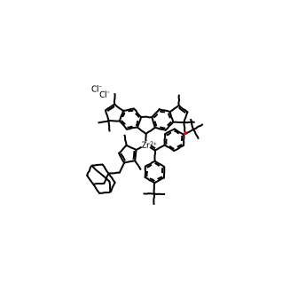 CC1=CC(C)(C)c2cc3c(cc21)-c1cc2c(cc1[CH]3[Zr+2]([C]1=C(C)C(CC34CC5CC(CC(C5)C3)C4)=CC1C)=[C](c1ccc(C(C)(C)C)cc1)c1ccc(C(C)(C)C)cc1)C(C)(C)C=C2C.[Cl-].[Cl-]